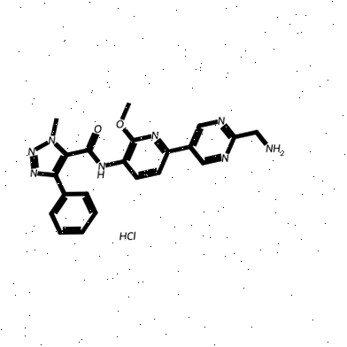 COc1nc(-c2cnc(CN)nc2)ccc1NC(=O)c1c(-c2ccccc2)nnn1C.Cl